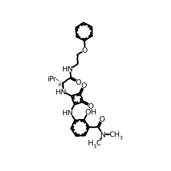 CC(C)[C@@H](Nc1c(Nc2cccc(C(=O)N(C)C)c2O)c(=O)c1=O)C(=O)NCCOc1ccccc1